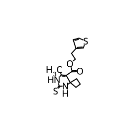 CC1=C(C(=O)OCCc2ccsc2)C2(CCC2)NC(=S)N1